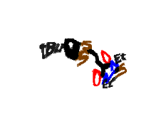 CCN1C(=O)C(=CC=C2Sc3ccc(C(C)(C)C)cc3S2)C(=O)N(CC)C1=S